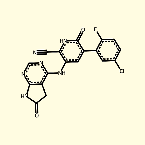 N#Cc1[nH]c(=O)c(-c2cc(Cl)ccc2F)cc1Nc1ncnc2c1CC(=O)N2